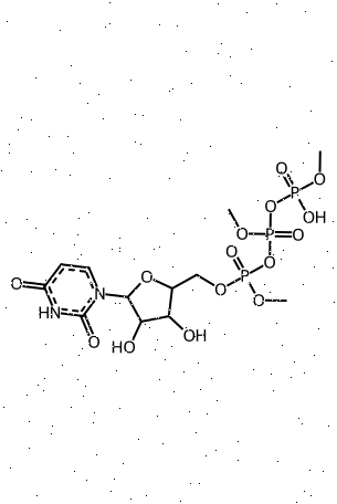 COP(=O)(O)OP(=O)(OC)OP(=O)(OC)OCC1OC(n2ccc(=O)[nH]c2=O)C(O)C1O